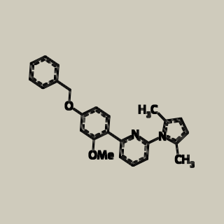 COc1cc(OCc2ccccc2)ccc1-c1cccc(-n2c(C)ccc2C)n1